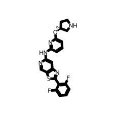 Fc1cccc(F)c1-c1nc2cc(Nc3cccc(O[C@H]4CCNC4)n3)ncc2s1